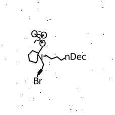 CCCCCCCCCCCCCC[N+]1(CC#CBr)CCCCC1C.CS(=O)(=O)[O-]